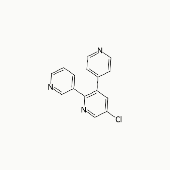 Clc1cnc(-c2cccnc2)c(-c2ccncc2)c1